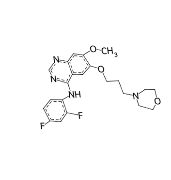 COc1cc2ncnc(Nc3ccc(F)cc3F)c2cc1OCCCN1CCOCC1